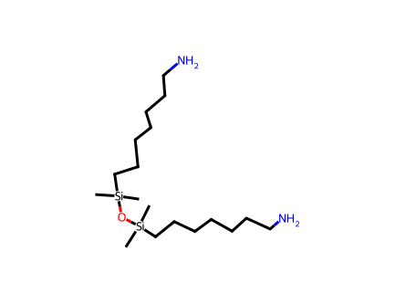 C[Si](C)(CCCCCCCN)O[Si](C)(C)CCCCCCCN